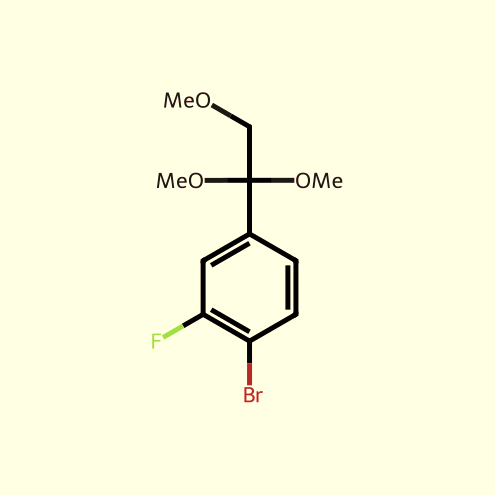 COCC(OC)(OC)c1ccc(Br)c(F)c1